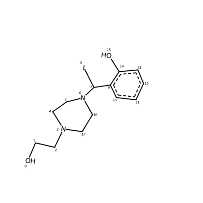 OCCN1CCN(C(I)c2ccccc2O)CC1